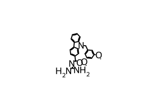 COc1cc(Cn2c3ccccc3c3ccc(C(=O)N=C(N)N)cc32)cc(OC)c1